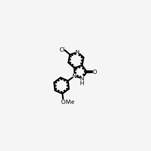 COc1cccc(-n2[nH]c(=O)c3cnc(Cl)cc32)c1